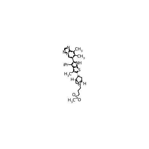 Cc1c(-c2[nH]c3sc([C@@H]4C[C@@H]5C[C@H]4CN5CCCS(C)(=O)=O)c(C)c3c2C(C)C)cn2ncnc2c1C